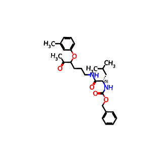 CC(=O)C(CCCNC(=O)[C@H](CC(C)C)NC(=O)OCc1ccccc1)Oc1cccc(C)c1